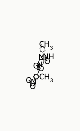 Cc1cc(N2COCC2=O)ccc1CCS(=O)(=O)N1CCC2(CC1)N=C(C1CCC(C)CC1)NC2=O